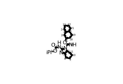 CC(C)OC(=O)Nc1nc2ccccc2n1C(=N)Oc1ccc2ccccc2c1